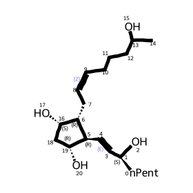 CCCCC[C@H](O)/C=C/[C@@H]1[C@@H](C/C=C\CCCC(C)O)[C@@H](O)C[C@H]1O